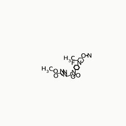 CCOC(=O)c1cn(CC2CN(c3ccc(N4CCC(OC#N)CC4CC)c(F)c3)C(=O)O2)nn1